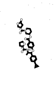 CC(NC(=O)[C@H]1CCCO1)C(Oc1ccc(C(=O)O[C@H]2CCCN(C(=O)[C@@H]3COC(=O)C3)C2)cc1)c1ccc(C2CC2)cc1